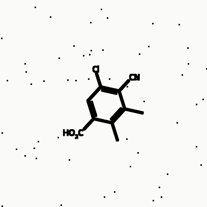 Cc1c(C(=O)O)cc(Cl)c(C#N)c1C